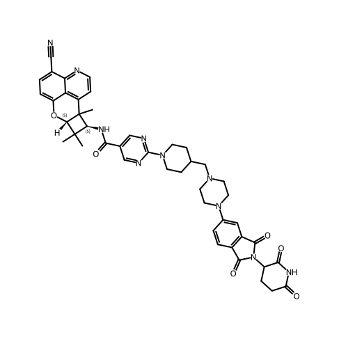 CC1(C)[C@H](NC(=O)c2cnc(N3CCC(CN4CCN(c5ccc6c(c5)C(=O)N(C5CCC(=O)NC5=O)C6=O)CC4)CC3)nc2)C2(C)c3ccnc4c(C#N)ccc(c34)O[C@@H]12